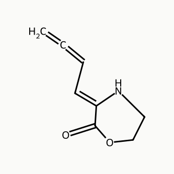 C=C=C/C=C1\NCCOC1=O